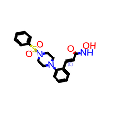 O=C(/C=C/c1ccccc1N1CCN(S(=O)(=O)c2ccccc2)CC1)NO